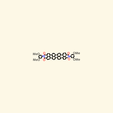 COc1cc(OC)cc(N2C(=O)c3ccc4c5ccc6c7ccc8c9ccc%10c%11c(ccc(c%12ccc(c%13ccc(c%14ccc(c3c4%14)C2=O)c5c6%13)c7c8%12)c%119)C(=O)N(c2cc(OC)cc(OC)c2)C%10=O)c1